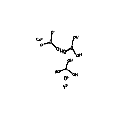 OB(O)O.OB(O)O.[Ca+2].[O-2].[O-]B([O-])[O-].[Y+3]